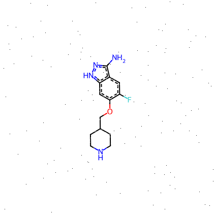 Nc1n[nH]c2cc(OCC3CCNCC3)c(F)cc12